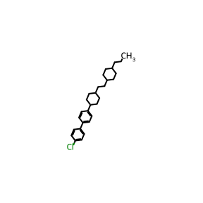 CCCC1CCC(CCC2CCC(c3ccc(-c4ccc(Cl)cc4)cc3)CC2)CC1